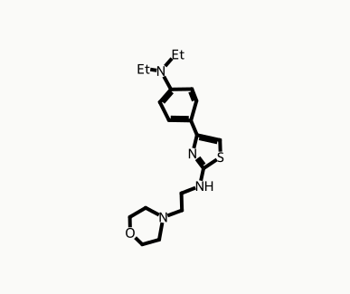 CCN(CC)c1ccc(-c2csc(NCCN3CCOCC3)n2)cc1